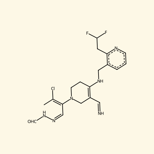 C/C(Cl)=C(\C=N/NC=O)N1CCC(NCc2cccnc2CC(F)F)=C(C=N)C1